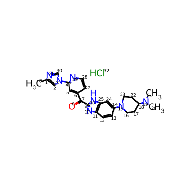 Cc1cn(-c2cc(C(=O)c3nc4ccc(N5CCC(N(C)C)CC5)cc4[nH]3)ccn2)cn1.Cl